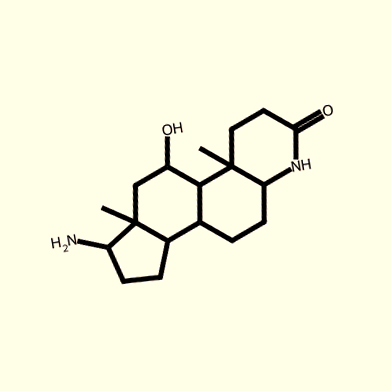 CC12CC(O)C3C(CCC4NC(=O)CCC43C)C1CCC2N